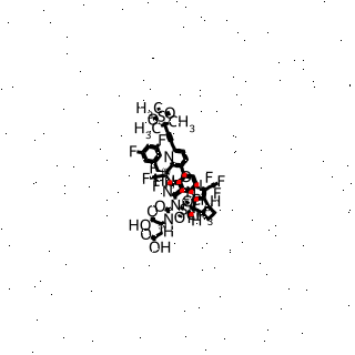 CC(C)(C#Cc1ccc(-c2ccc(Cl)c3c(N(C(=O)N[C@@H](CC(=O)O)C(=O)O)S(C)(=O)=O)nn(CC(F)(F)F)c23)c([C@H](Cc2cc(F)cc(F)c2)NC(=O)Cn2nc(C(F)(F)F)c3c2C(F)(F)[C@@H]2CC[C@H]32)n1)S(C)(=O)=O